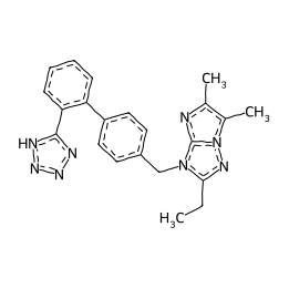 CCc1nn2c(C)c(C)nc2n1Cc1ccc(-c2ccccc2-c2nnn[nH]2)cc1